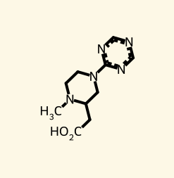 CN1CCN(c2ncncn2)CC1CC(=O)O